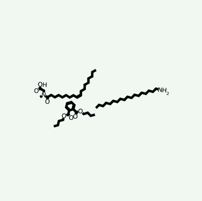 CCCCCCCC/C=C\CCCCCCCC(=O)N(C)CC(=O)O.CCCCCCCCCCCCCCCCCCN.CCCCOC(=O)c1ccccc1C(=O)OCCCC